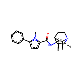 C[C@H]1[C@H](NC(=O)c2ccc(-c3ccccc3)n2C)C2CCN1CC2